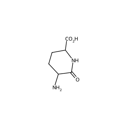 NC1CCC(C(=O)O)NC1=O